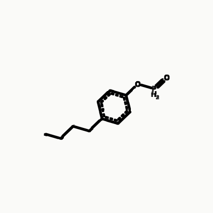 CCCCc1ccc(O[PH2]=O)cc1